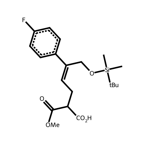 COC(=O)C(C/C=C(\CO[Si](C)(C)C(C)(C)C)c1ccc(F)cc1)C(=O)O